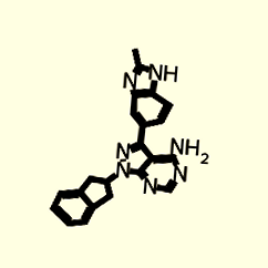 Cc1nc2cc(-c3nn(C4Cc5ccccc5C4)c4ncnc(N)c34)ccc2[nH]1